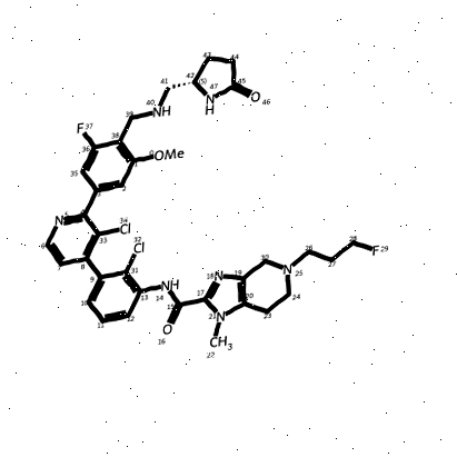 COc1cc(-c2nccc(-c3cccc(NC(=O)c4nc5c(n4C)CCN(CCCF)C5)c3Cl)c2Cl)cc(F)c1CNC[C@@H]1CCC(=O)N1